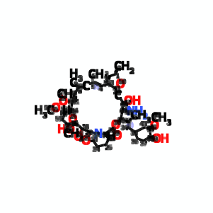 C=CC[C@@H]1/C=C(\C)C[C@H](C)C[C@H](OC)[C@H]2O[C@@](O)(C(=O)C(=O)N3CCCC[C@H]3C(=O)O[C@H](/C(C)=C/C3CC[C@@H](O)[C@H](OC)C3)[C@H](N)[C@@H](O)CC1=O)[C@H](C)C[C@@H]2OC